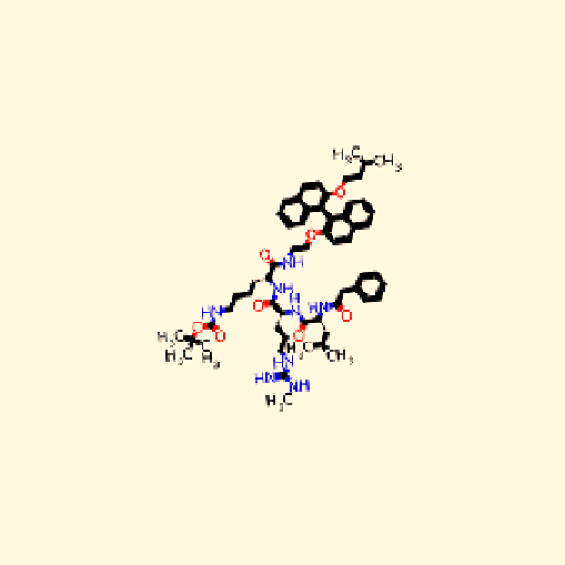 CNC(=N)NCCC[C@@H](NC(=O)[C@@H](CC(C)C)NC(=O)Cc1ccccc1)C(=O)N[C@H](CCCCNC(=O)OC(C)(C)C)C(=O)NCCOc1ccc2ccccc2c1-c1c(OCCC(C)C)ccc2ccccc12